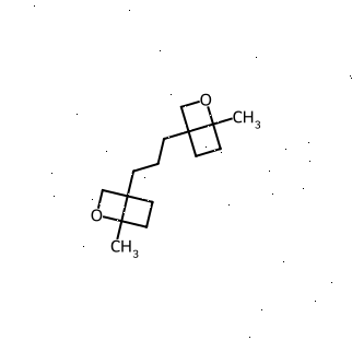 CC12CCC1(CCCC13CCC1(C)OC3)CO2